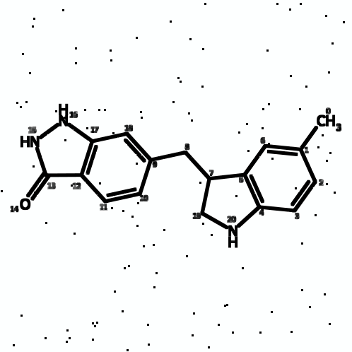 Cc1ccc2c(c1)C(Cc1ccc3c(=O)[nH][nH]c3c1)CN2